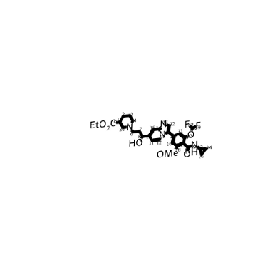 CCOC(=O)C1CCCN(CCC(O)c2ccn3c(-c4cc(OC)c(C(=O)NC5CC5)c(OC(F)F)c4)cnc3c2)C1